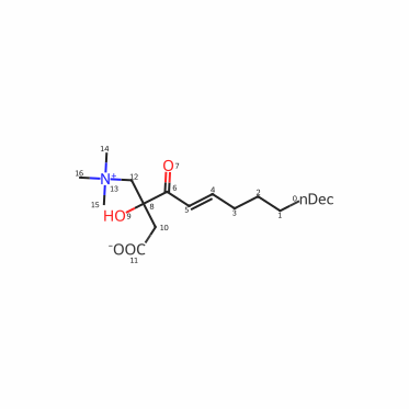 CCCCCCCCCCCCCC=CC(=O)C(O)(CC(=O)[O-])C[N+](C)(C)C